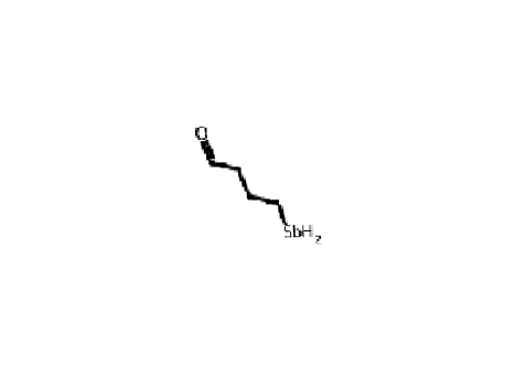 O=CCC[CH2][SbH2]